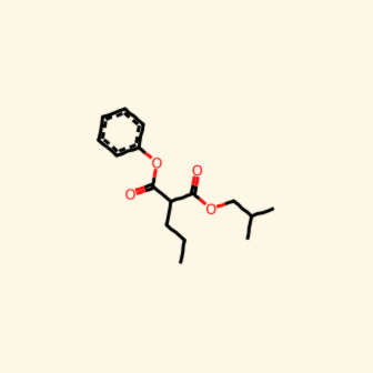 CCCC(C(=O)OCC(C)C)C(=O)Oc1ccccc1